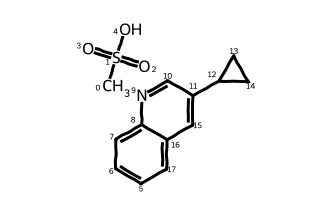 CS(=O)(=O)O.c1ccc2ncc(C3CC3)cc2c1